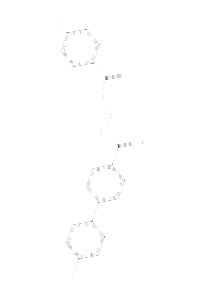 Cc1ccc(C(=O)OCOC(=O)c2ccc(-c3ccc(C)cc3)cc2)cc1